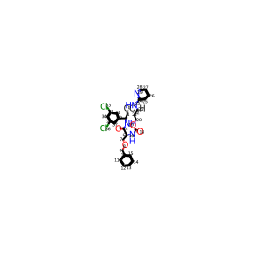 O=C(O)CC(NC(=O)C(COCc1ccccc1)NC(=O)OCCCNc1ccccn1)c1cc(Cl)cc(Cl)c1